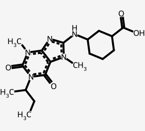 CCC(C)n1c(=O)c2c(nc(NC3CCCC(C(=O)O)C3)n2C)n(C)c1=O